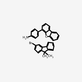 CC1(C)c2ccccc2-c2cc(Br)ccc21.Nc1ccc(-c2cccc3c2oc2ccccc23)cc1